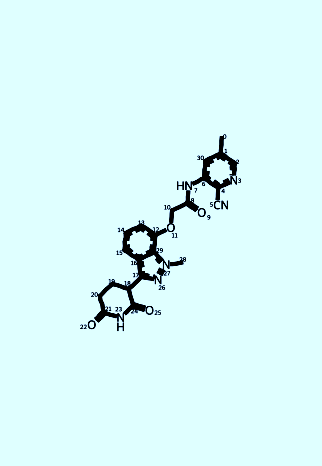 Cc1cnc(C#N)c(NC(=O)COc2cccc3c(C4CCC(=O)NC4=O)nn(C)c23)c1